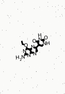 CCOc1nc(N)nc2ncc(-c3c[nH]c(=O)[nH]c3=O)nc12